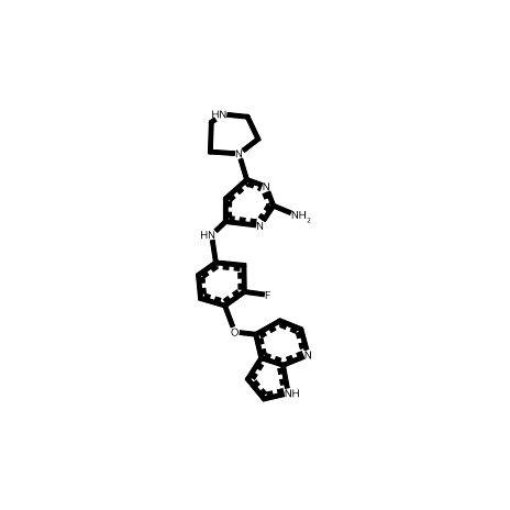 Nc1nc(Nc2ccc(Oc3ccnc4[nH]ccc34)c(F)c2)cc(N2CCNCC2)n1